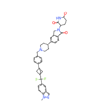 Cn1ncc2cc(C(F)(F)C34CC(c5ccc(CN6CCC(c7ccc8c(c7)CN(C7CCC(=O)NC7=O)C8=O)CC6)cc5)(C3)C4)ccc21